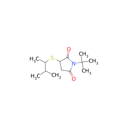 CC(C)C(C)SC1CC(=O)N(C(C)(C)C)C1=O